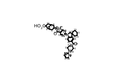 O=C(NC1CC2CC(C1)CC(C(=O)O)C2)c1cnc(N2CC3(CCCCC3)c3cc(C(=O)N4CCN(c5ncccn5)CC4)ccc32)nc1C(F)(F)F